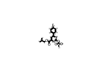 CC(C)COC(=O)c1cc(-c2ccc(F)cc2)nc(OS(C)(=O)=O)n1